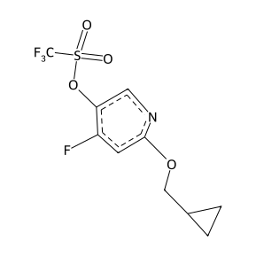 O=S(=O)(Oc1cnc(OCC2CC2)cc1F)C(F)(F)F